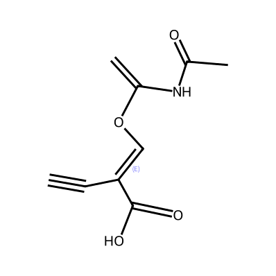 C#C/C(=C\OC(=C)NC(C)=O)C(=O)O